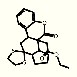 CCOC(=O)CC12C(=O)Oc3ccccc3C1CC1(SCCS1)C1CCCC12